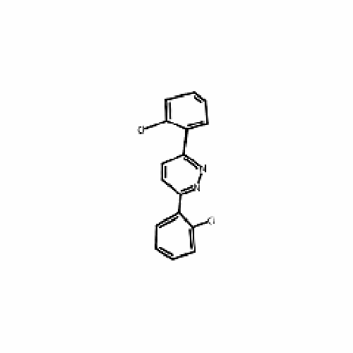 Clc1ccccc1-c1ccc(-c2ccccc2Cl)nn1